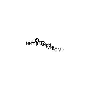 COC1CN(c2ncc(N3CCN(c4cccc(CC=N)c4F)CC3)cn2)C1